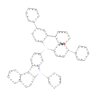 c1ccc(-c2ccc(N(c3ccc4c5c6ccccc6ccc5n(-c5ccccc5)c4c3)c3ccc(-c4ccccc4)cc3-c3ccccc3)cc2)cc1